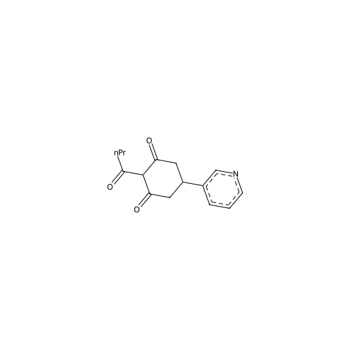 CCCC(=O)C1C(=O)CC(c2cccnc2)CC1=O